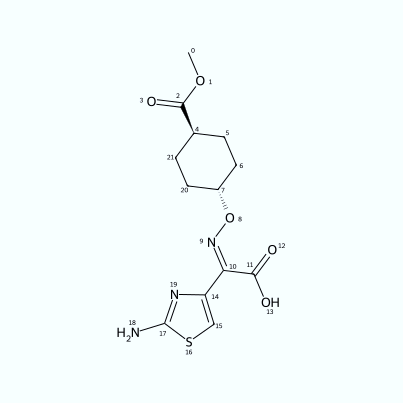 COC(=O)[C@H]1CC[C@H](ON=C(C(=O)O)c2csc(N)n2)CC1